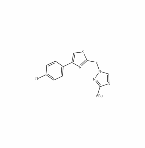 CCCCc1ncn(Sc2nc(-c3ccc(Cl)cc3)cs2)n1